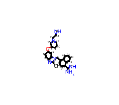 Cc1nc2ccc(OC3CCCN(CC=N)C3)cc2n1Cc1ccc(C(=N)N)c2ccccc12